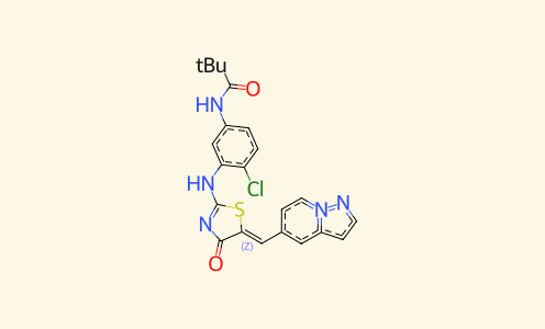 CC(C)(C)C(=O)Nc1ccc(Cl)c(NC2=NC(=O)/C(=C/c3ccn4nccc4c3)S2)c1